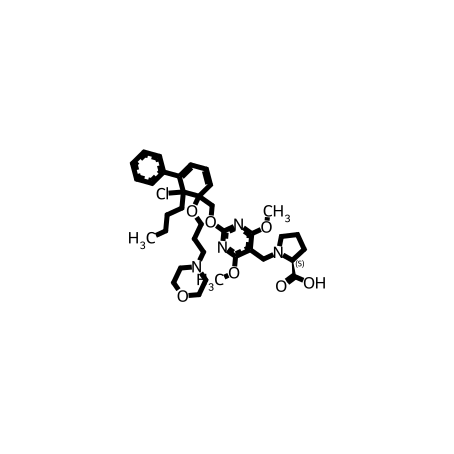 CCCCC1(Cl)C(c2ccccc2)=CC=CC1(COc1nc(OC)c(CN2CCC[C@H]2C(=O)O)c(OC)n1)OCCCN1CCOCC1